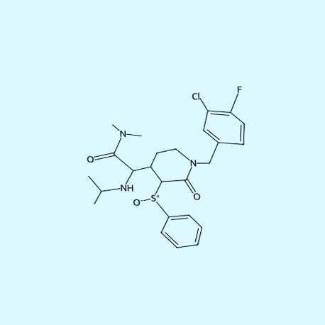 CC(C)NC(C(=O)N(C)C)C1CCN(Cc2ccc(F)c(Cl)c2)C(=O)C1[S+]([O-])c1ccccc1